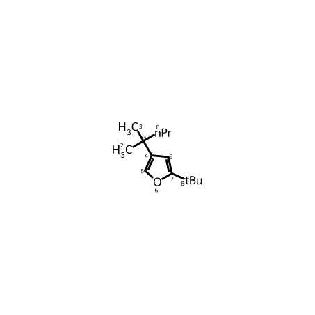 CCCC(C)(C)c1coc(C(C)(C)C)c1